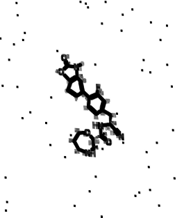 Cn1c(=O)oc2ccc(-c3ccc(C[C@@H](C#N)NC(=O)[C@@H]4CNCCCO4)cc3F)cc21